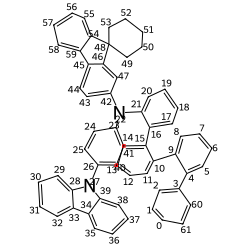 c1ccc(-c2ccccc2-c2ccccc2-c2ccccc2N(c2ccc(-n3c4ccccc4c4ccccc43)cc2)c2ccc3c(c2)C2(CCCCC2)c2ccccc2-3)cc1